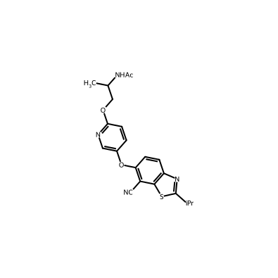 CC(=O)NC(C)COc1ccc(Oc2ccc3nc(C(C)C)sc3c2C#N)cn1